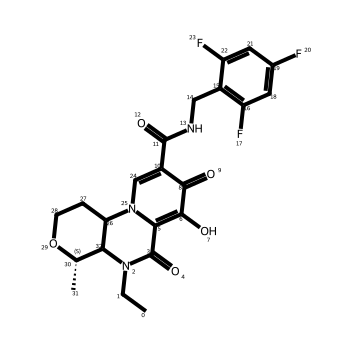 CCN1C(=O)c2c(O)c(=O)c(C(=O)NCc3c(F)cc(F)cc3F)cn2C2CCO[C@@H](C)C21